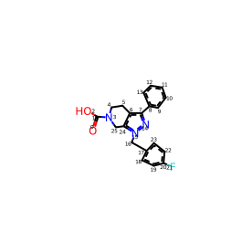 O=C(O)N1CCc2c(-c3ccccc3)nn(Cc3ccc(F)cc3)c2C1